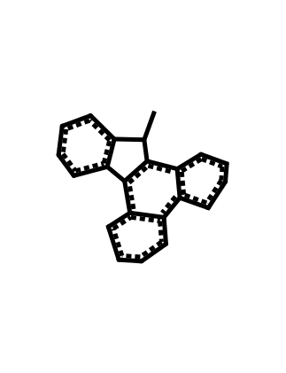 CC1c2ccccc2-c2c1c1ccccc1c1ccccc21